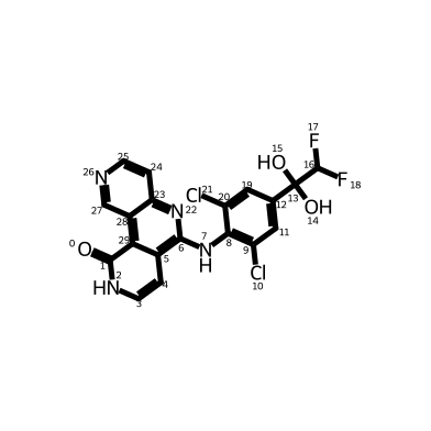 O=c1[nH]ccc2c(Nc3c(Cl)cc(C(O)(O)C(F)F)cc3Cl)nc3ccncc3c12